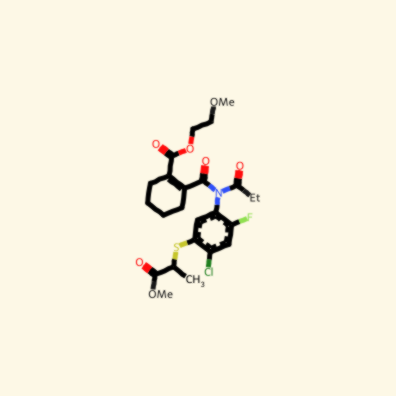 CCC(=O)N(C(=O)C1=C(C(=O)OCCOC)CCCC1)c1cc(SC(C)C(=O)OC)c(Cl)cc1F